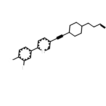 C=CCCC1CCC(C#Cc2ccc(-c3ccc(Cl)c(F)c3)nc2)CC1